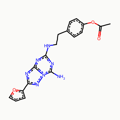 CC(=O)Oc1ccc(CCNc2nc(N)n3nc(-c4ccco4)nc3n2)cc1